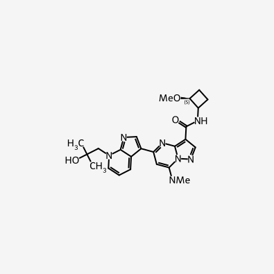 CNc1cc(-c2cnc3n(CC(C)(C)O)cccc2-3)nc2c(C(=O)NC3CC[C@@H]3OC)cnn12